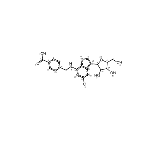 O=C(O)c1ccc(CNc2nc(Cl)nc3c2ncn3C2OC(CO)C(O)C2O)cc1